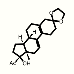 CC(=O)[C@@]1(O)CC[C@H]2[C@@H]3CCC4=C(CCC5(C4)OCCO5)C3=CC[C@@]21C